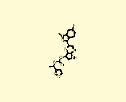 CC(NC(=O)Oc1c[nH]c2ncc(-c3nn(C)c4cc(F)ccc34)nc12)c1ccon1